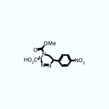 COC(=O)N1CC(c2ccc([N+](=O)[O-])cc2)N=NN1C(=O)O